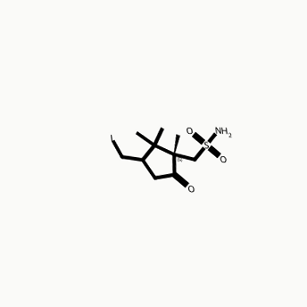 CC1(C)C(CI)CC(=O)[C@@]1(C)CS(N)(=O)=O